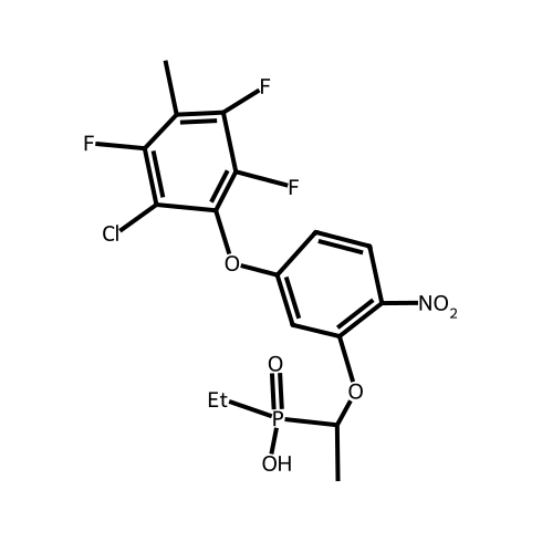 CCP(=O)(O)C(C)Oc1cc(Oc2c(F)c(F)c(C)c(F)c2Cl)ccc1[N+](=O)[O-]